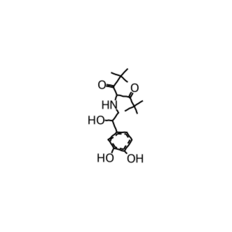 CC(C)(C)C(=O)C(NCC(O)c1ccc(O)c(O)c1)C(=O)C(C)(C)C